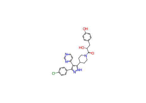 O=C(C(O)Cc1ccc(O)cc1)N1CCC(c2[nH]nc(-c3ccc(Cl)cc3)c2-c2ccncn2)CC1